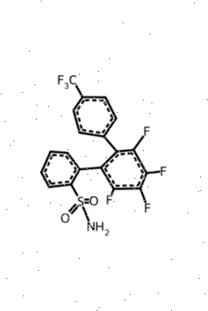 NS(=O)(=O)c1ccccc1-c1c(F)c(F)c(F)c(F)c1-c1ccc(C(F)(F)F)cc1